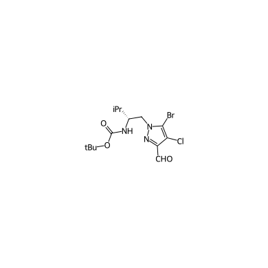 CC(C)[C@H](Cn1nc(C=O)c(Cl)c1Br)NC(=O)OC(C)(C)C